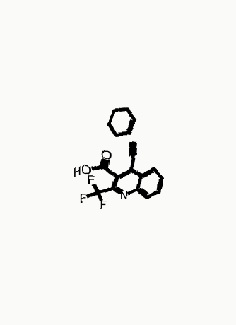 C#Cc1c(C(=O)O)c(C(F)(F)F)nc2ccccc12.C1=CCCCC1